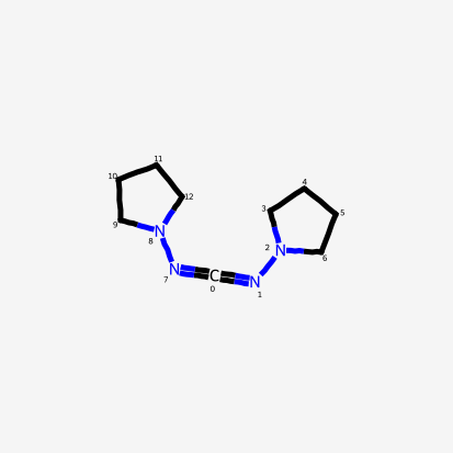 C(=NN1CCCC1)=NN1CCCC1